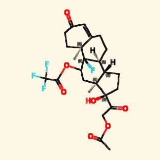 CC(=O)OCC(=O)[C@@]1(O)CC[C@H]2[C@@H]3CCC4=CC(=O)CC[C@]4(C)[C@@]3(F)C(OC(=O)C(F)(F)F)C[C@@]21C